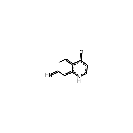 C/C=c1/c(=O)cc[nH]/c1=C/C=N